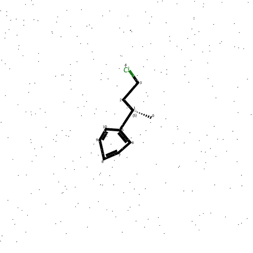 C[C@@H](CCCl)c1ccccc1